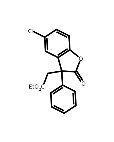 CCOC(=O)CC1(c2ccccc2)C(=O)Oc2ccc(Cl)cc21